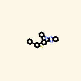 c1ccc(-c2ccc3sc4cc5c6nc7ccccc7nc6n6c7ccccc7c(c4c3c2)c56)cc1